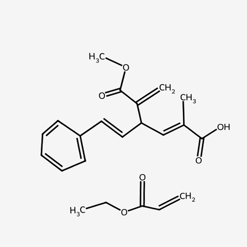 C=C(C(=O)OC)C(C=Cc1ccccc1)C=C(C)C(=O)O.C=CC(=O)OCC